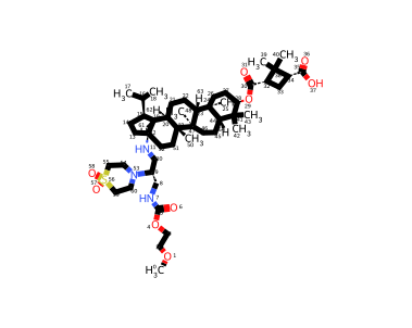 COCCOC(=O)NC[C@@H](CN[C@]12CC[C@@H](C(C)C)[C@@H]1[C@H]1CC[C@@H]3[C@@]4(C)CC[C@H](OC(=O)[C@H]5C[C@@H](C(=O)O)C5(C)C)C(C)(C)[C@@H]4CC[C@@]3(C)[C@]1(C)CC2)N1CCS(=O)(=O)CC1